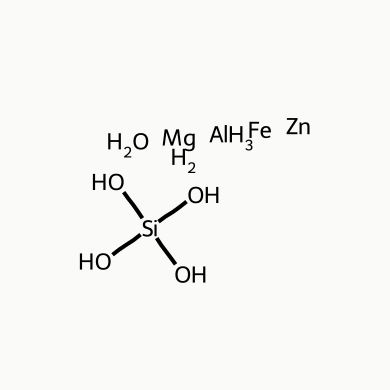 O.O[Si](O)(O)O.[AlH3].[Fe].[MgH2].[Zn]